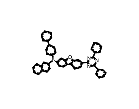 c1ccc(-c2ccc(N(c3ccc4ccccc4c3)c3ccc4c(c3)oc3cc(-c5nc(-c6ccccc6)nc(-c6ccccc6)n5)ccc34)cc2)cc1